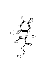 CCOC(=O)c1c(Cl)c2cc(Br)c(F)cc2n(C)c1=O